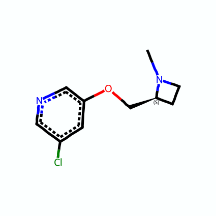 CN1CC[C@H]1COc1cncc(Cl)c1